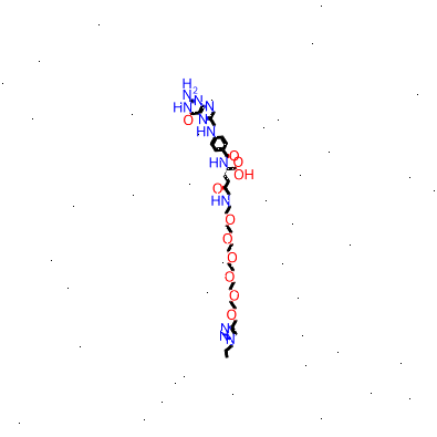 CCCn1cc(COCCOCCOCCOCCOCCOCCNCC(=O)CC[C@H](NC(=O)c2ccc(NCc3cnc4nc(N)[nH]c(=O)c4n3)cc2)C(=O)O)nn1